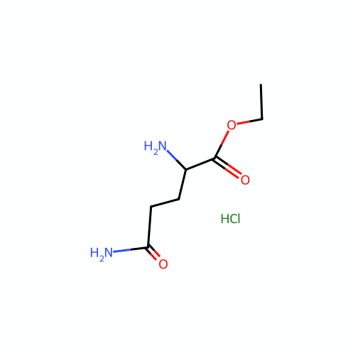 CCOC(=O)C(N)CCC(N)=O.Cl